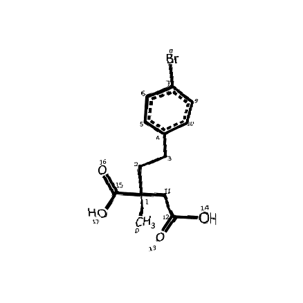 C[C@@](CCc1ccc(Br)cc1)(CC(=O)O)C(=O)O